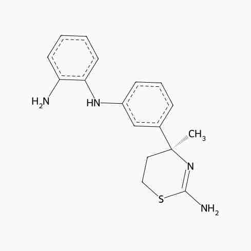 C[C@@]1(c2cccc(Nc3ccccc3N)c2)CCSC(N)=N1